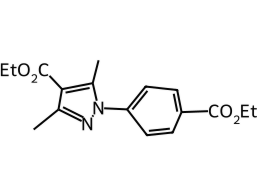 CCOC(=O)c1ccc(-n2nc(C)c(C(=O)OCC)c2C)cc1